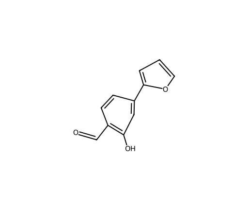 O=Cc1ccc(-c2ccco2)cc1O